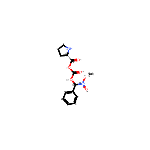 O=C(OC(=O)[C@@H]1CCCN1)OC(c1ccccc1)[N+](=O)[O-].[NaH]